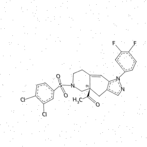 CC(=O)[C@]12Cc3cnn(-c4ccc(F)c(F)c4)c3C=C1CCN(S(=O)(=O)c1ccc(Cl)c(Cl)c1)C2